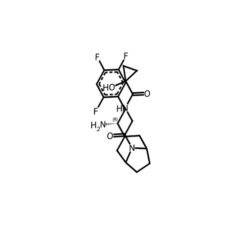 N[C@H](Cc1cc(F)c(F)cc1F)C1CC2CCC(C1)N2C(=O)CNC(=O)C1(O)CC1